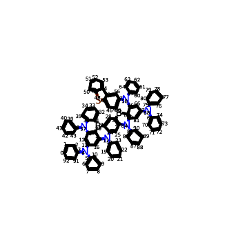 c1ccc(N(c2ccccc2)c2cc3c4c(c2)N(c2ccccc2)c2cc5c(cc2B4c2ccccc2N3c2ccccc2)B2c3cc4sc6ccccc6c4cc3N(c3ccccc3)c3cc(N(c4ccccc4)c4ccccc4)cc(c32)N5c2ccccc2)cc1